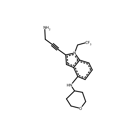 NCC#Cc1cc2c(NC3CCOCC3)cccc2n1CC(F)(F)F